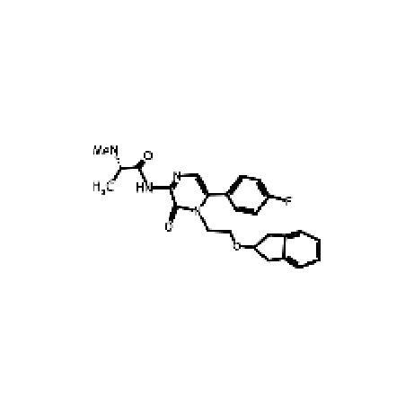 CN[C@@H](C)C(=O)Nc1ncc(-c2ccc(F)cc2)n(CCOC2Cc3ccccc3C2)c1=O